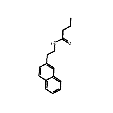 CCCC(=O)NCCc1ccc2ccccc2c1